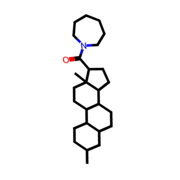 CC1CCC2C(CCC3C2CCC2(C)C(C(=O)N4CCCCCC4)CCC32)C1